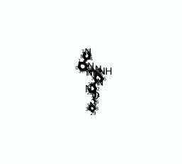 c1cc(-c2ccncc2)c2nc(-c3n[nH]c4cnc(-c5cncc(OCCN6CCCC6)c5)cc34)[nH]c2c1